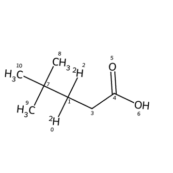 [2H]C([2H])(CC(=O)O)C(C)(C)C